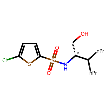 CCCC(CCC)[C@@H](CO)NS(=O)(=O)c1ccc(Cl)s1